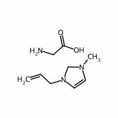 C=CCN1C=CN(C)C1.NCC(=O)O